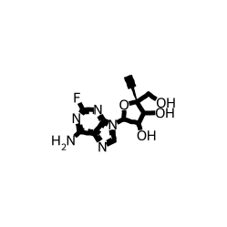 C#C[C@]1(CO)OC(n2cnc3c(N)nc(F)nc32)C(O)C1O